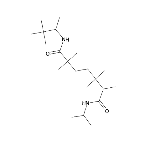 CC(C)NC(=O)C(C)C(C)(C)CCC(C)(C)C(=O)NC(C)C(C)(C)C